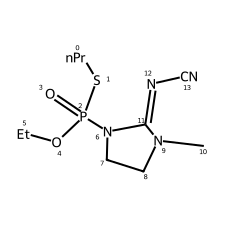 CCCSP(=O)(OCC)N1CCN(C)C1=NC#N